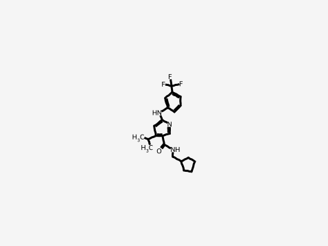 CC(C)c1cc(Nc2cccc(C(F)(F)F)c2)ncc1C(=O)NCC1CCCC1